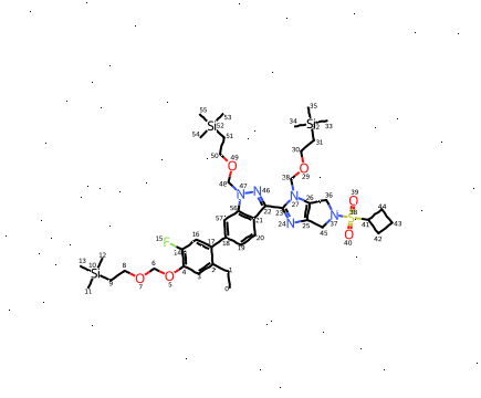 CCc1cc(OCOCC[Si](C)(C)C)c(F)cc1-c1ccc2c(-c3nc4c(n3COCC[Si](C)(C)C)CN(S(=O)(=O)C3CCC3)C4)nn(COCC[Si](C)(C)C)c2c1